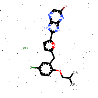 CC(C)COc1ccc(Cl)cc1Cc1ccc(-c2nc3nc(Br)cnc3[nH]2)o1.Cl